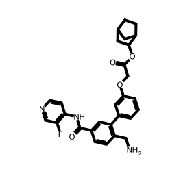 NCc1ccc(C(=O)Nc2ccncc2F)cc1-c1cccc(OCC(=O)OC2CC3CCC2C3)c1